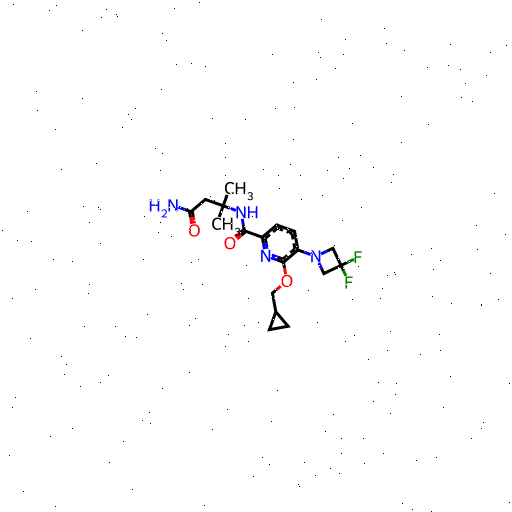 CC(C)(CC(N)=O)NC(=O)c1ccc(N2CC(F)(F)C2)c(OCC2CC2)n1